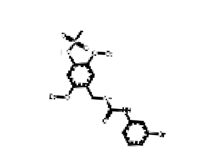 CCOc1cc(NS(C)(=O)=O)c(OCC)cc1CNC(=O)Nc1cccc(Br)c1